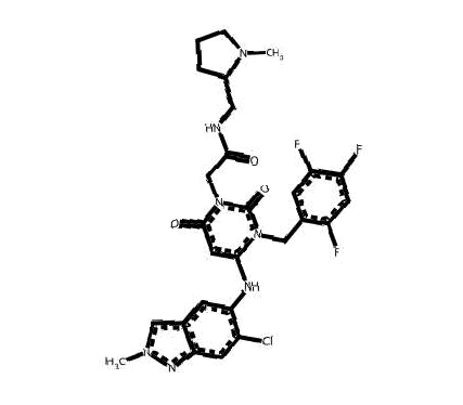 CN1CCCC1CNC(=O)Cn1c(=O)cc(Nc2cc3cn(C)nc3cc2Cl)n(Cc2cc(F)c(F)cc2F)c1=O